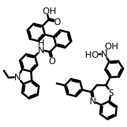 CCn1c2ccccc2c2cc(NC(=O)c3ccccc3-c3ccccc3C(=O)O)ccc21.Cc1ccc(C2=Nc3ccccc3SC(c3cccc(N(O)O)c3)C2)cc1